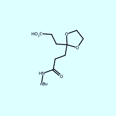 CCCCNC(=O)CCC1(CCC(=O)O)OCCO1